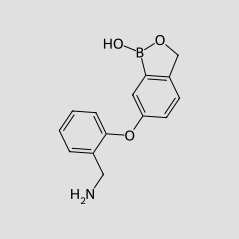 NCc1ccccc1Oc1ccc2c(c1)B(O)OC2